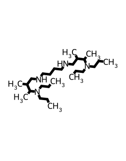 CCCN(CCC)C(C)C(C)CNCCCCNCC(C)C(C)N(CCC)CCC